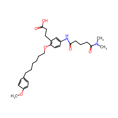 COc1ccc(CCCCCCOc2ccc(NC(=O)CCCC(=O)N(C)C)cc2CCC(=O)O)cc1